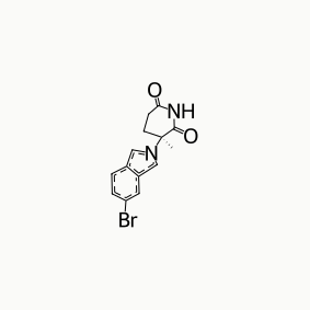 C[C@]1(n2cc3ccc(Br)cc3c2)CCC(=O)NC1=O